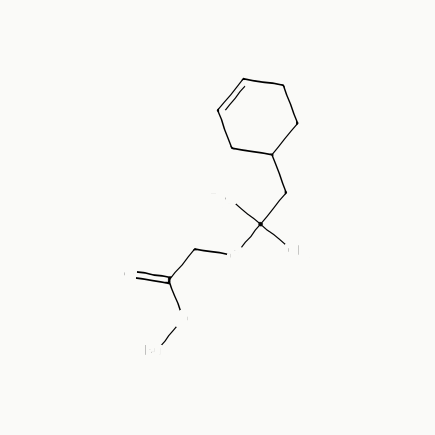 CC(C)(C)OC(=O)COC(CC1CC=CCC1)(C(F)(F)F)C(F)(F)F